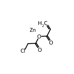 C=CC(=O)OC(=O)CCl.[Zn]